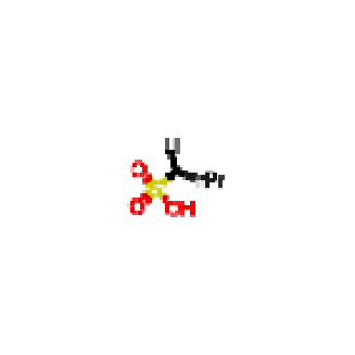 [Li][CH](CCC)S(=O)(=O)O